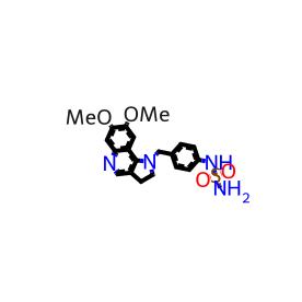 COc1cc2ncc3c(c2cc1OC)N(Cc1ccc(NS(N)(=O)=O)cc1)CC3